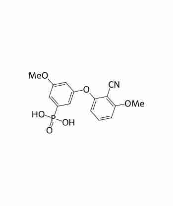 COc1cc(Oc2cccc(OC)c2C#N)cc(P(=O)(O)O)c1